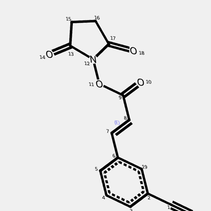 N#Cc1cccc(/C=C/C(=O)ON2C(=O)CCC2=O)c1